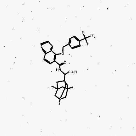 CC12CC3(C)CC(C)(C1)CC(C(NC(=O)c1ccc4ccccc4c1OCc1ccc(C(F)(F)C(F)(F)F)cc1)C(=O)O)(C2)C3